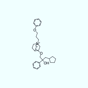 OC(COC1C[N+]2(CCCOc3ccccc3)CCC1CC2)(CC1CCCC1)c1ccccc1